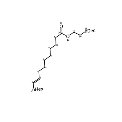 CCCCCCC=CCCCCCCCC(=O)OCCCCCCCCCCCC